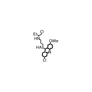 CCC(CCl)NCCC[AsH]c1c2ccc(Cl)cc2nc2ccc(OC)cc12